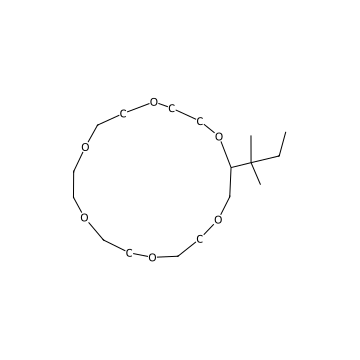 CCC(C)(C)C1COCCOCCOCCOCCOCCO1